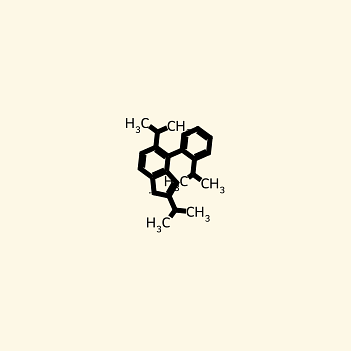 CC(C)C1=Cc2c(ccc(C(C)C)c2-c2ccccc2C(C)C)[CH]1